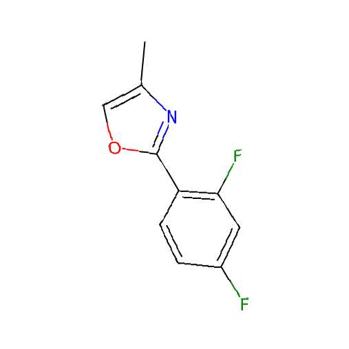 Cc1coc(-c2ccc(F)cc2F)n1